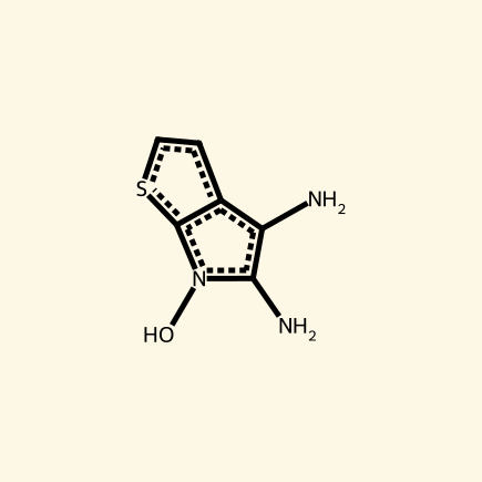 Nc1c(N)n(O)c2sccc12